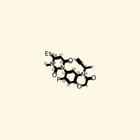 C#CC(C)N1C(=O)COc2cc(F)c(-n3c(=O)cc(CC)n(C)c3=O)cc21